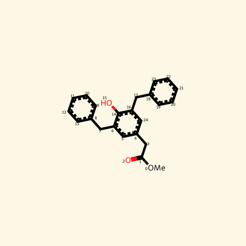 COC(=O)Cc1cc(Cc2ccccc2)c(O)c(Cc2ccccc2)c1